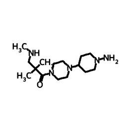 CNCC(C)(C)C(=O)N1CCN(C2CCN(N)CC2)CC1